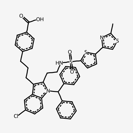 Cc1nc(-c2ccc(S(=O)(=O)NCCc3c(CCCc4ccc(C(=O)O)cc4)c4cc(Cl)ccc4n3C(c3ccccc3)c3ccccc3)s2)cs1